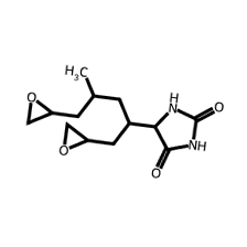 CC(CC1CO1)CC(CC1CO1)C1NC(=O)NC1=O